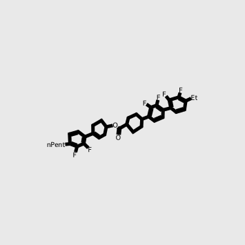 CCCCCc1ccc(C2=CCC(OC(=O)C3CCC(c4ccc(-c5ccc(CC)c(F)c5F)c(F)c4F)CC3)CC2)c(F)c1F